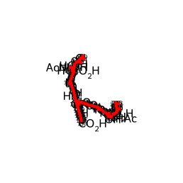 CC(=O)N[C@H]1[C@H]([C@H](O)[C@H](O)CNC(=O)c2cccc(Oc3ccccc3)c2)O[C@@](OCCOCCOCc2cn(CCOCCOCCC(=O)NCCCC[C@H](NC(=O)CCCNC(=O)CCOCCOCCn3cc(COCCOCCO[C@]4(C(=O)O)C[C@H](O)[C@@H](NC(C)=O)[C@H]([C@H](O)[C@H](O)CNC(=O)c5cccc(Oc6ccccc6)c5)O4)nn3)C(=O)NCCOCCOCCOCCOCCC(=O)O)nn2)(C(=O)O)C[C@@H]1O